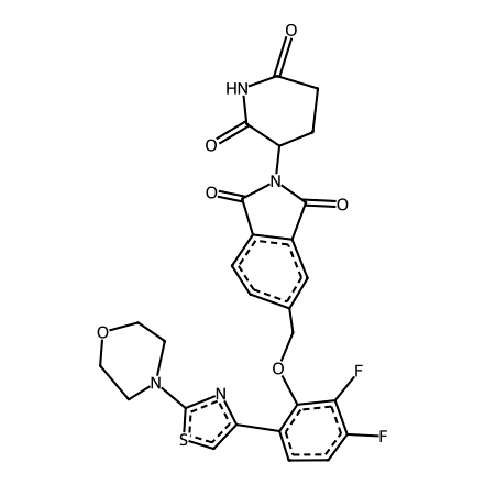 O=C1CCC(N2C(=O)c3ccc(COc4c(-c5csc(N6CCOCC6)n5)ccc(F)c4F)cc3C2=O)C(=O)N1